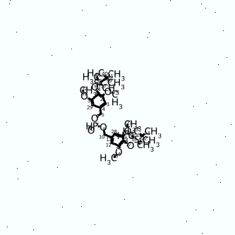 COc1cc(CO[PH](=O)OCc2cc(OC)c(O[Si](C)(C)C(C)(C)C)c(OC)c2)cc(OC)c1O[Si](C)(C)C(C)(C)C